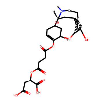 CN1CCCc2c3ccc(O)c2O[C@@H]2C[C@@](O)(CC=C2OC(=O)CCC(=O)O[C@H](CC(=O)O)C(=O)O)[C@H]1C3